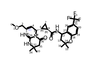 COC/C=C/C([C@@H]1C[C@H]1C(=O)NC1CC(C)(C)Oc2ccc(C(F)(F)F)cc21)N1C(=N)NC(C)(C)CC1=O